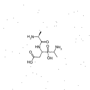 CC(N)P(=O)(O)C(CC(=O)O)NC(=O)[C@H](C)N